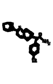 CCc1ccc(N(C(N)=O)c2ccc3nc(N4CC5CCC4C5)ccc3c2)cc1